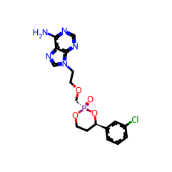 Nc1ncnc2c1ncn2CCOC[P@@]1(=O)OCC[C@H](c2cccc(Cl)c2)O1